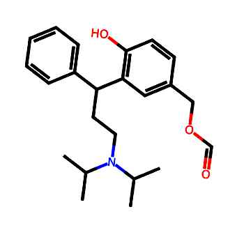 CC(C)N(CCC(c1ccccc1)c1cc(COC=O)ccc1O)C(C)C